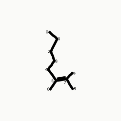 CCCCCC(C)=C(C)C